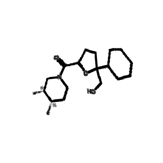 C[C@@H]1CN(C(=O)C2CCC(CO)(C3CCCCC3)O2)CC[C@@H]1C